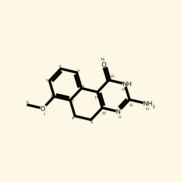 COc1cccc2c1CCc1nc(N)[nH]c(=O)c1-2